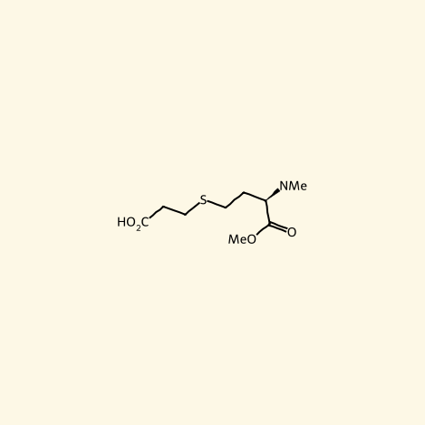 CN[C@H](CCSCCC(=O)O)C(=O)OC